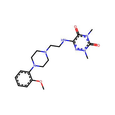 COc1ccccc1N1CCN(CCNc2nn(C)c(=O)n(C)c2=O)CC1